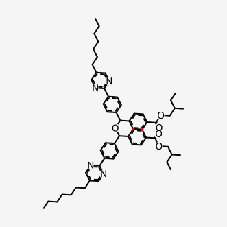 CCCCCCCc1cnc(-c2ccc(C(OC(c3ccc(C(=O)OCC(C)CC)cc3)c3ccc(-c4ncc(CCCCCCC)cn4)cc3)c3ccc(C(=O)OCC(C)CC)cc3)cc2)nc1